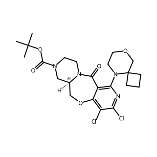 CC(C)(C)OC(=O)N1CCN2C(=O)c3c(N4CCOCC45CCC5)nc(Cl)c(Cl)c3OC[C@H]2C1